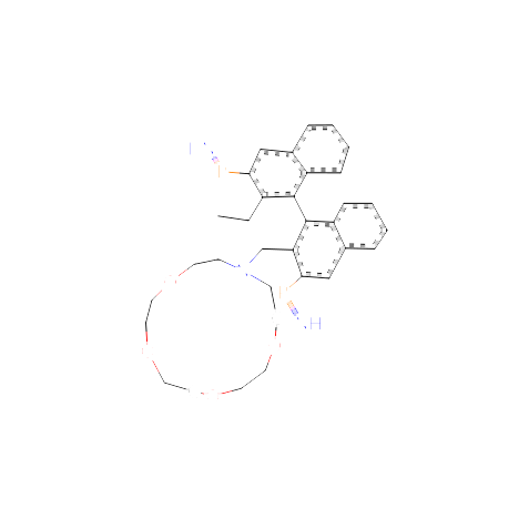 CCc1c(P=N)cc2ccccc2c1-c1c(CN2CCOCCOCCOCCOCC2)c(P=N)cc2ccccc12